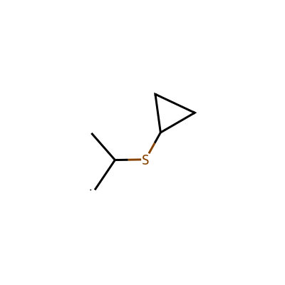 [CH2]C(C)SC1CC1